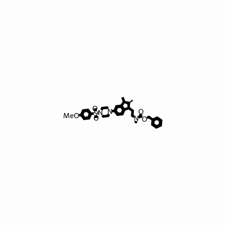 COc1ccc(S(=O)(=O)N2CCN(c3ccc4c(c3)C(C)[C@@H](C)C4CCN(C)C(=O)OCc3ccccc3)CC2)cc1